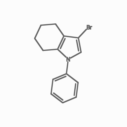 Brc1cn(-c2ccccc2)c2c1CCCC2